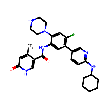 O=C(Nc1cc(-c2ccc(NC3CCCCC3)nc2)c(F)cc1N1CCNCC1)c1c[nH]c(=O)cc1C(F)(F)F